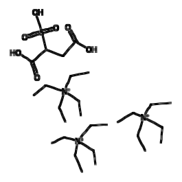 CC[N+](CC)(CC)CC.CC[N+](CC)(CC)CC.CC[N+](CC)(CC)CC.O=C(O)CC(C(=O)O)S(=O)(=O)O